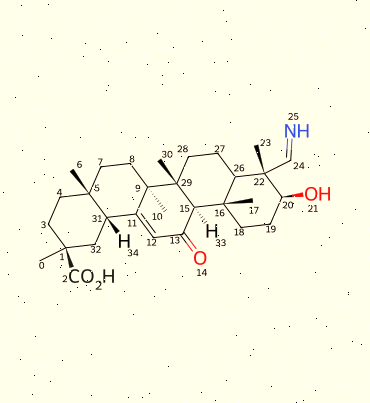 C[C@]1(C(=O)O)CC[C@]2(C)CC[C@]3(C)C(=CC(=O)[C@@H]4[C@@]5(C)CC[C@H](O)[C@@](C)(C=N)C5CC[C@]43C)[C@@H]2C1